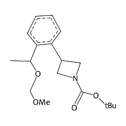 COCOC(C)c1ccccc1C1CN(C(=O)OC(C)(C)C)C1